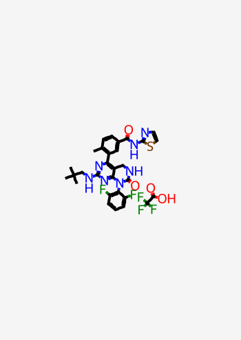 Cc1ccc(C(=O)Nc2nccs2)cc1-c1nc(NCC(C)(C)C)nc2c1CNC(=O)N2c1c(F)cccc1F.O=C(O)C(F)(F)F